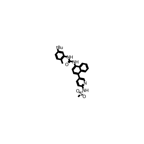 Cc1ccc(C(C)(C)C)cc1NC(=O)Nc1ccc(-c2ccc(NS(C)(=O)=O)nc2)c2ccccc12